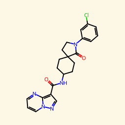 O=C(NC1CCC2(CC1)CCN(c1cccc(Cl)c1)C2=O)c1cnn2cccnc12